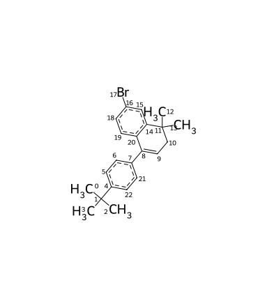 CC(C)(C)c1ccc(C2=CCC(C)(C)c3cc(Br)ccc32)cc1